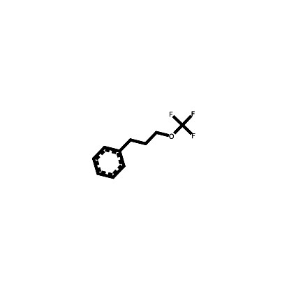 FC(F)(F)OCCCc1ccccc1